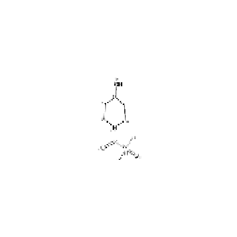 C[SH](C)(=O)C(=O)N1CCC(O)CC1